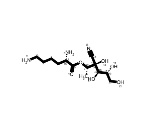 C[C@H](OC(=O)[C@@H](N)CCCCN)[C@](O)(C#N)[C@H](O)[C@H](O)CO